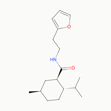 CC(C)[C@@H]1CC[C@@H](C)C[C@H]1C(=O)NCCc1ccco1